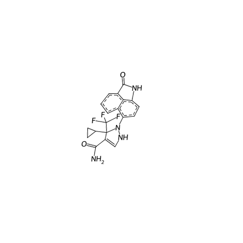 NC(=O)C1=CNN(c2ccc3c4c(cccc24)C(=O)N3)C1(C1CC1)C(F)(F)F